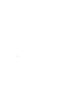 S=C([S-])C1CCCC2(C1)NCCO2.S=C([S-])C1CCCC2(C1)NCCO2.[Zn+2]